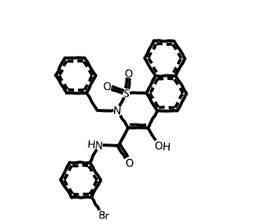 O=C(Nc1cccc(Br)c1)C1=C(O)c2ccc3ccccc3c2S(=O)(=O)N1Cc1ccccc1